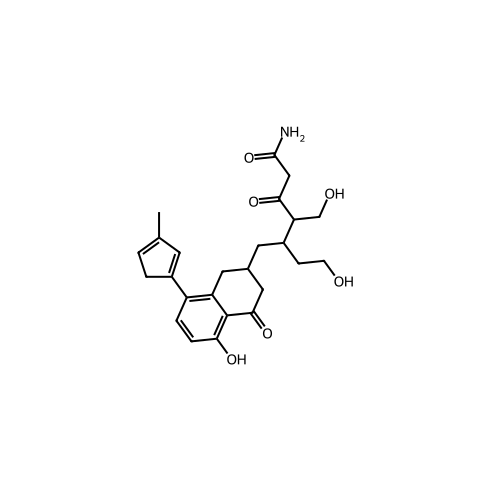 CC1=CCC(c2ccc(O)c3c2CC(CC(CCO)C(CO)C(=O)CC(N)=O)CC3=O)=C1